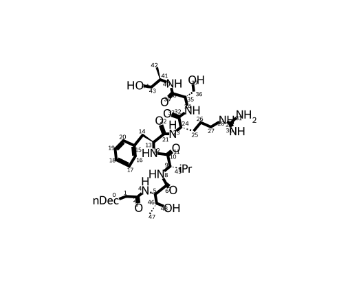 CCCCCCCCCCCC(=O)N[C@H](C(=O)N[C@H](C(=O)N[C@@H](Cc1ccccc1)C(=O)N[C@@H](CCCNC(=N)N)C(=O)N[C@@H](CO)C(=O)N[C@H](C)CO)C(C)C)[C@@H](C)O